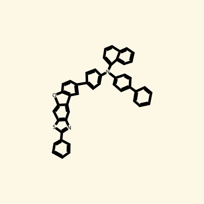 c1ccc(-c2ccc(N(c3ccc(-c4ccc5oc6cc7sc(-c8ccccc8)nc7cc6c5c4)cc3)c3cccc4ccccc34)cc2)cc1